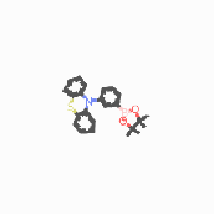 CC1(C)OB(c2cccc(N3c4ccccc4Sc4ccccc43)c2)OC1(C)C